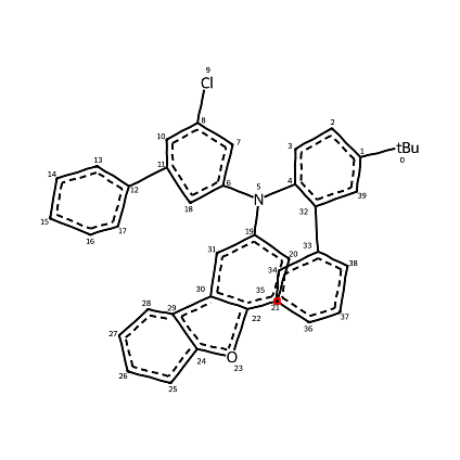 CC(C)(C)c1ccc(N(c2cc(Cl)cc(-c3ccccc3)c2)c2ccc3oc4ccccc4c3c2)c(-c2ccccc2)c1